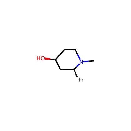 CC(C)[C@H]1C[C@@H](O)CCN1C